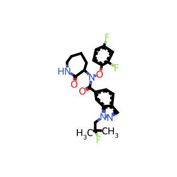 CC(C)(F)Cn1ncc2ccc(C(=O)N(Oc3ccc(F)cc3F)C3CCCCNC3=O)cc21